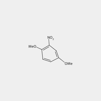 COc1ccc(OC)c([N+](=O)[O-])c1